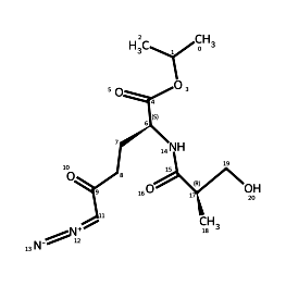 CC(C)OC(=O)[C@H](CCC(=O)C=[N+]=[N-])NC(=O)[C@H](C)CO